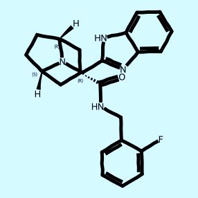 O=C(NCc1ccccc1F)[C@H]1C[C@H]2CC[C@@H](C1)N2Cc1nc2ccccc2[nH]1